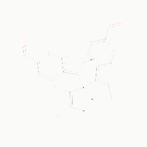 Cc1sc2cc(C=O)ccc2c1C1(c2c(C)sc3cc(C=O)ccc23)C(F)=C(F)C(F)(F)C1(F)F